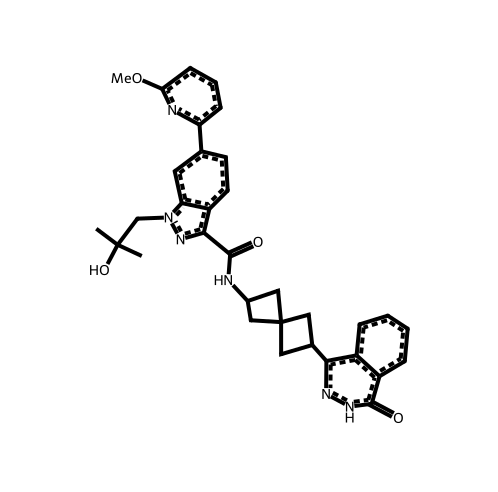 COc1cccc(-c2ccc3c(C(=O)NC4CC5(C4)CC(c4n[nH]c(=O)c6ccccc46)C5)nn(CC(C)(C)O)c3c2)n1